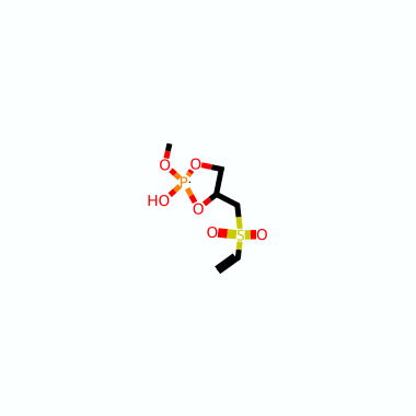 C=CS(=O)(=O)CC1CO[P](O)(OC)O1